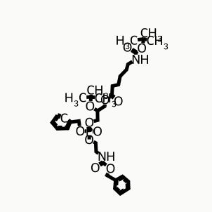 CC(C)(C)OC(=O)NCCCCCC(=O)OCC(COP(=O)(OCCNC(=O)OCc1ccccc1)OCc1ccccc1)OC(C)(C)C